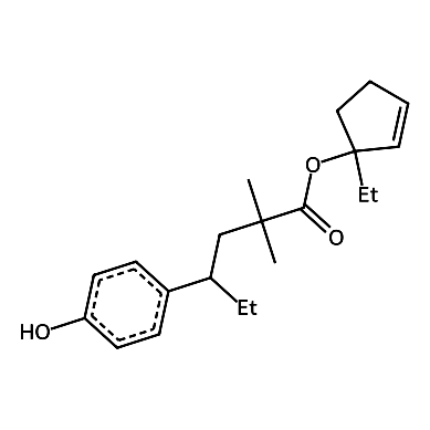 CCC(CC(C)(C)C(=O)OC1(CC)C=CCC1)c1ccc(O)cc1